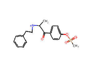 CC(NCCc1ccccc1)C(=O)c1ccc(OS(C)(=O)=O)cc1